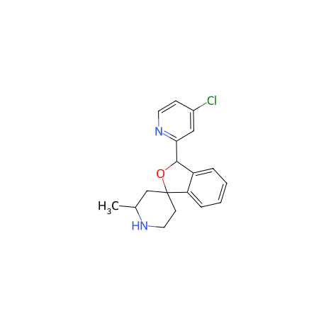 CC1CC2(CCN1)OC(c1cc(Cl)ccn1)c1ccccc12